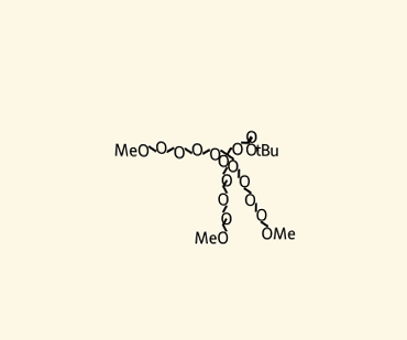 COCCOCCOCCOCCOCC(COCCOCCOCCOCCOC)(COCC(=O)OC(C)(C)C)OCCOCCOCCOCCOC